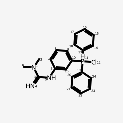 CN(C)C(=N)Nc1cccc([PH](Cl)(c2ccccc2)c2ccccc2)c1